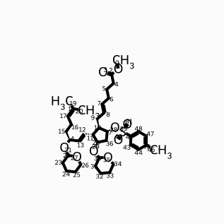 COC(=O)CCCC=CC[C@@H]1[C@@H](C=C[C@H](CCC=C(C)C)OC2CCCCO2)[C@H](OC2CCCCO2)C[C@H]1OS(=O)(=O)c1ccc(C)cc1